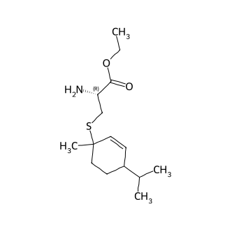 CCOC(=O)[C@@H](N)CSC1(C)C=CC(C(C)C)CC1